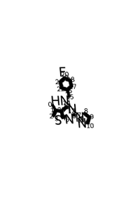 Cc1csc2nc(-n3cccn3)nc(NCc3ccc(F)cc3)c12